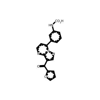 O=C(O)Nc1cccc(-c2ccnc3c(C(=O)c4ccco4)cnn23)c1